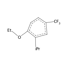 CCOc1ccc(C(F)(F)F)cc1C(C)C